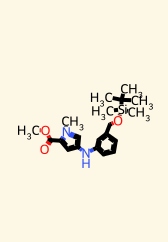 COC(=O)c1cc(Nc2cccc(CO[Si](C)(C)C(C)(C)C)c2)cn1C